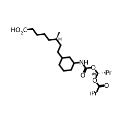 CC(C)C(=O)O[C@H](OC(=O)NC1CCCC(CC[C@H](C)CCCCC(=O)O)C1)C(C)C